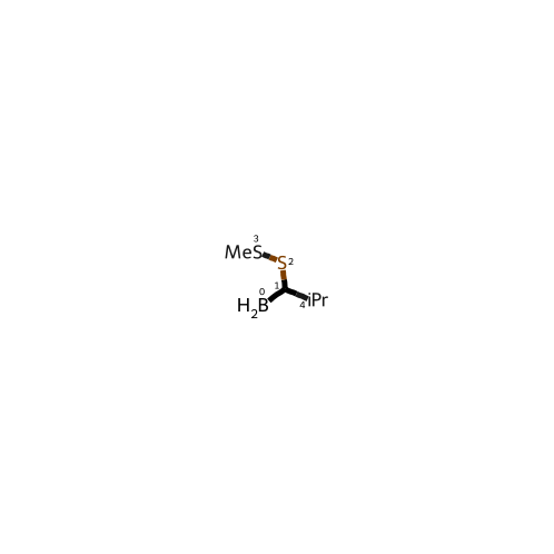 BC(SSC)C(C)C